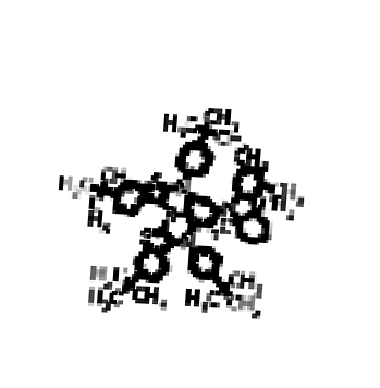 Cc1cc(C)c2c(c1)N(c1cc3c4c(c1)N(c1ccc(C(C)(C)C)cc1)c1c(sc5cc(C(C)(C)C)ccc15)B4c1c(sc4cc(C(C)(C)C)ccc14)N3c1ccc(C(C)(C)C)cc1)C1(C)CCCCC21C